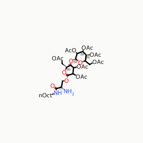 CCCCCCCCNC(=O)[C@@H](N)CO[C@@H]1O[C@@H](COC(C)=O)[C@@H](O[C@@H]2OC(COC(C)=O)[C@H](OC(C)=O)[C@H](OC(C)=O)C2OC(C)=O)C(OC(C)=O)C1OC(C)=O